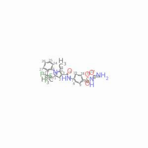 Cc1cc(C(=O)Nc2ccc(S(=O)(=O)NC(N)=O)cc2)c(C)n1-c1ccccc1C(F)(F)F